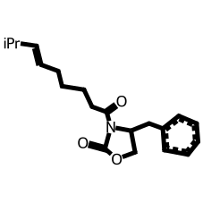 CC(C)C=CCCCCC(=O)N1C(=O)OCC1Cc1ccccc1